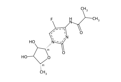 CC(C)C(=O)Nc1nc(=O)n([C@@H]2O[C@H](C)C(O)C2O)cc1F